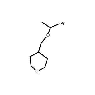 CC(C)C(C)OCC1CCOCC1